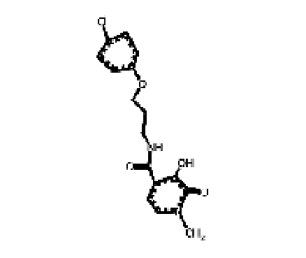 Cn1ccc(C(=O)NCCCOc2ccc(Cl)cc2)c(O)c1=O